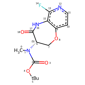 CN(C(=O)OC(C)(C)C)[C@H]1COc2ccnc(F)c2NC1=O